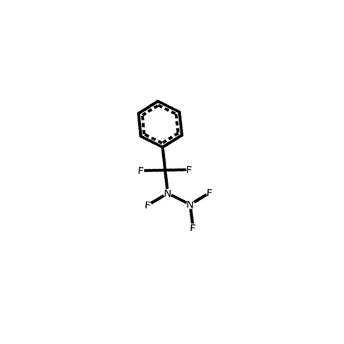 FN(F)N(F)C(F)(F)c1ccccc1